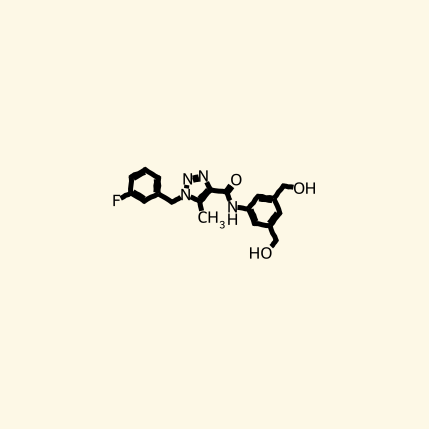 Cc1c(C(=O)Nc2cc(CO)cc(CO)c2)nnn1Cc1cccc(F)c1